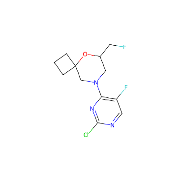 FCC1CN(c2nc(Cl)ncc2F)CC2(CCC2)O1